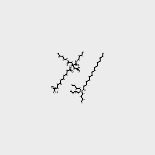 CCCCCCCCCCCCCCCC[P+](CCCC)(CCCC)CCCC.CCCCOC(=O)CC(CC(=O)[O-])(OC(=O)CCCCCCCCC(=O)O)C(=O)OCCCC